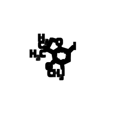 COc1c(I)cc(I)c2c1C(C)(C)CO2